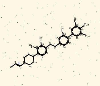 C/C=C/C1CCC(c2ccc(CCc3ccc(-c4cc(F)c(F)c(F)c4)c(F)c3)c(F)c2F)CC1